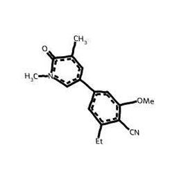 CCc1cc(-c2cc(C)c(=O)n(C)c2)cc(OC)c1C#N